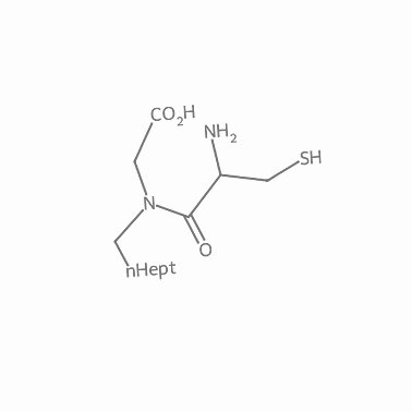 CCCCCCCCN(CC(=O)O)C(=O)C(N)CS